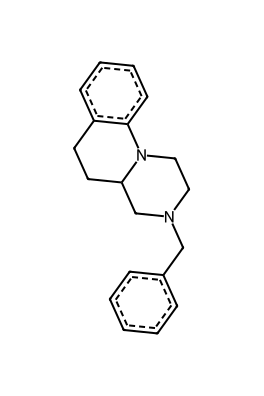 c1ccc(CN2CCN3c4ccccc4CCC3C2)cc1